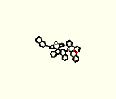 c1ccc(-c2ccccc2N(c2ccc3ccccc3c2)c2cc3c(c4ccccc24)-c2ccccc2C32c3ccccc3Oc3cc(-c4ccc5ccccc5c4)ccc32)cc1